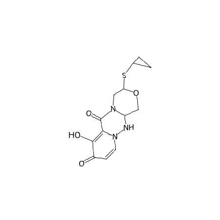 O=C1c2c(O)c(=O)ccn2NC2COC(SC3CC3)CN12